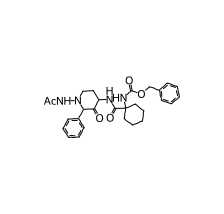 CC(=O)NN1CCC(NC(=O)C2(NC(=O)OCc3ccccc3)CCCCC2)C(=O)C1c1ccccc1